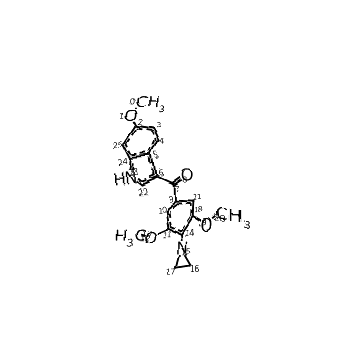 COc1ccc2c(C(=O)c3cc(OC)c(N4CC4)c(OC)c3)c[nH]c2c1